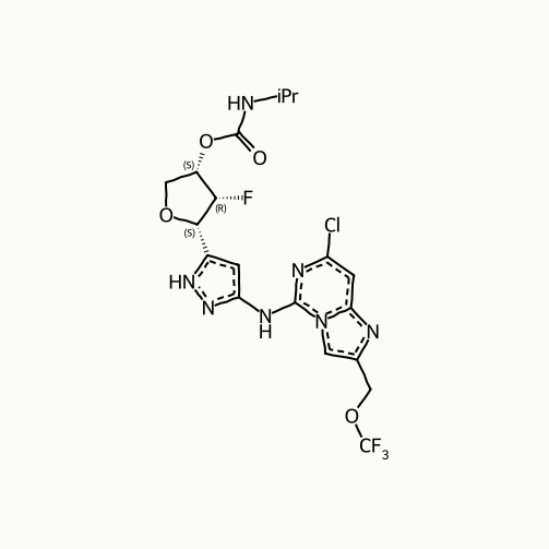 CC(C)NC(=O)O[C@H]1CO[C@@H](c2cc(Nc3nc(Cl)cc4nc(COC(F)(F)F)cn34)n[nH]2)[C@H]1F